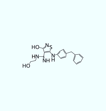 N=C(NCCO)c1c(O)nsc1Nc1ccc(Cc2ccccc2)cc1